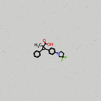 CC1(C(=O)O)C(c2ccccc2)C1c1ccc(N2CCC(F)(F)C2)cc1